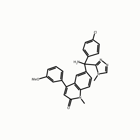 COc1cccc(-c2cc(=O)n(C)c3ccc(C(N)(c4ccc(Cl)cc4)c4nncn4C)cc23)c1